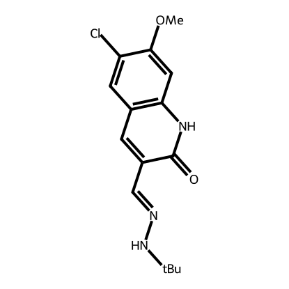 COc1cc2[nH]c(=O)c(/C=N/NC(C)(C)C)cc2cc1Cl